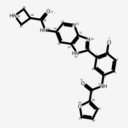 O=C(Nc1ccc(Cl)c(-c2nc3ncc(NC(=O)C4CNC4)cc3[nH]2)c1)c1ccco1